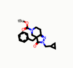 CC(C)(C)OC(=O)N1CCC2=NN(CC3CC3)C(=O)C2(Cc2ccccc2)C1